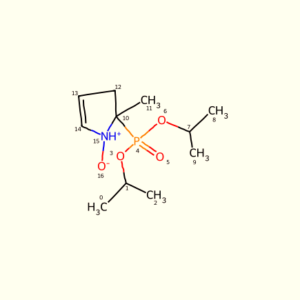 CC(C)OP(=O)(OC(C)C)C1(C)CC=C[NH+]1[O-]